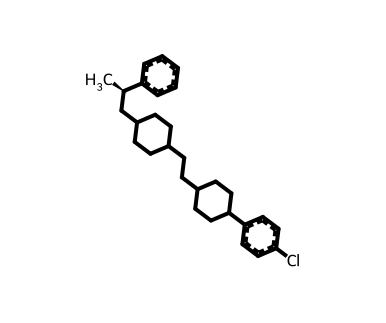 C[C@H](CC1CCC(CCC2CCC(c3ccc(Cl)cc3)CC2)CC1)c1ccccc1